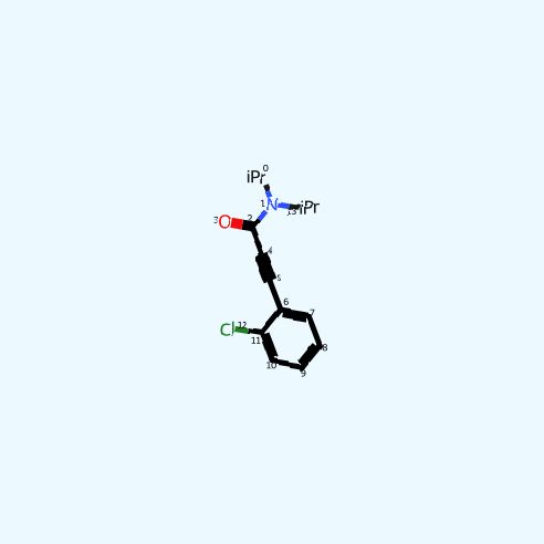 CC(C)N(C(=O)C#Cc1ccccc1Cl)C(C)C